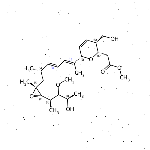 COC(=O)C[C@@H]1O[C@H](/C(C)=C/C=C/[C@@H](C)C[C@@]2(C)O[C@@H]2[C@H](C)C(OC)[C@@H](C)O)C=C[C@H]1CO